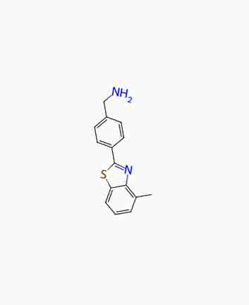 Cc1cccc2sc(-c3ccc(CN)cc3)nc12